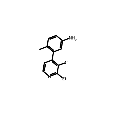 CCc1nccc(-c2cc(N)ccc2C)c1Cl